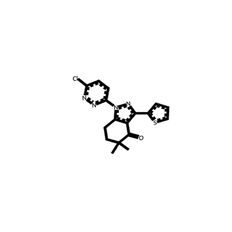 CC1(C)CCc2c(c(-c3cccs3)nn2-c2ccc(Cl)nn2)C1=O